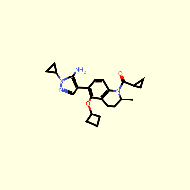 C[C@H]1CCc2c(ccc(-c3cnn(C4CC4)c3N)c2OC2CCC2)N1C(=O)C1CC1